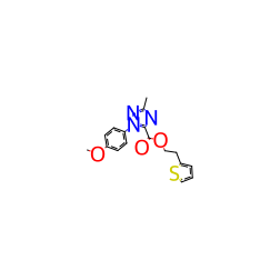 COc1ccc(-n2nc(C)nc2C(=O)OCCc2cccs2)cc1